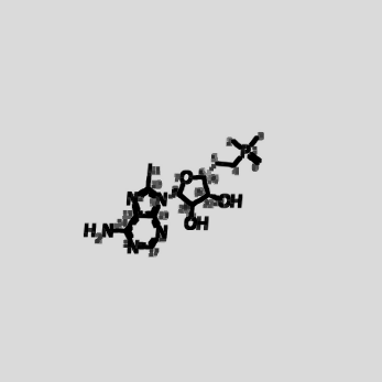 C=P(C)(C)CC[C@H]1O[C@@H](n2c(I)nc3c(N)ncnc32)[C@H](O)[C@@H]1O